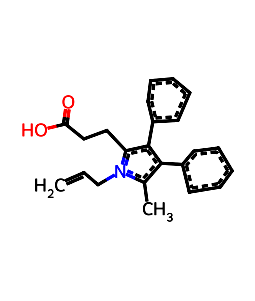 C=CCn1c(C)c(-c2ccccc2)c(-c2ccccc2)c1CCC(=O)O